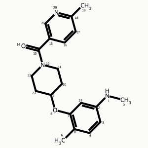 CNc1ccc(C)c(OC2CCN(C(=O)c3ccc(C)nc3)CC2)c1